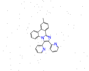 Cc1ccc2c(c1)c1ccccc1n1c(-c3ccccn3)c(-c3ccccn3)nc21